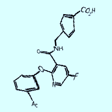 CC(=O)c1cccc(Oc2ncc(F)cc2C(=O)NCc2ccc(C(=O)O)cc2)c1